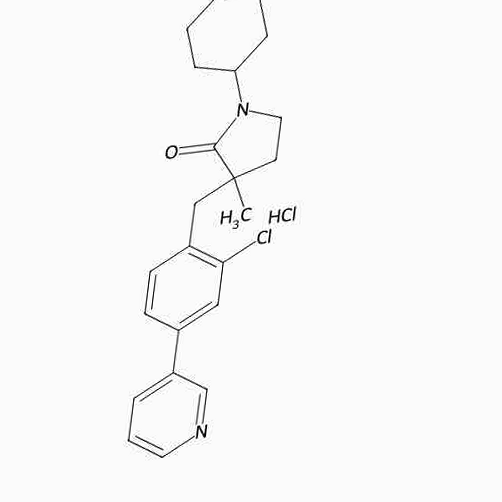 CC1(Cc2ccc(-c3cccnc3)cc2Cl)CCN(C2CCCCC2)C1=O.Cl